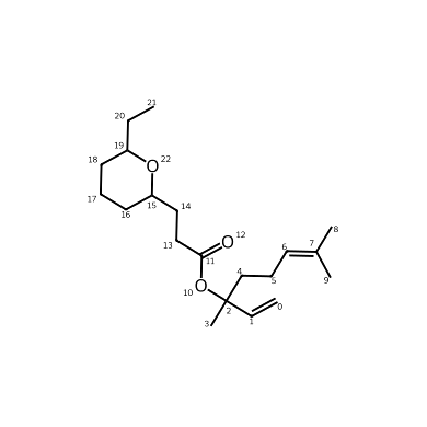 C=CC(C)(CCC=C(C)C)OC(=O)CCC1CCCC(CC)O1